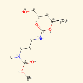 CN(CCCNC(=O)O[C@@H](CCCO)C(=O)O)C(=O)OC(C)(C)C